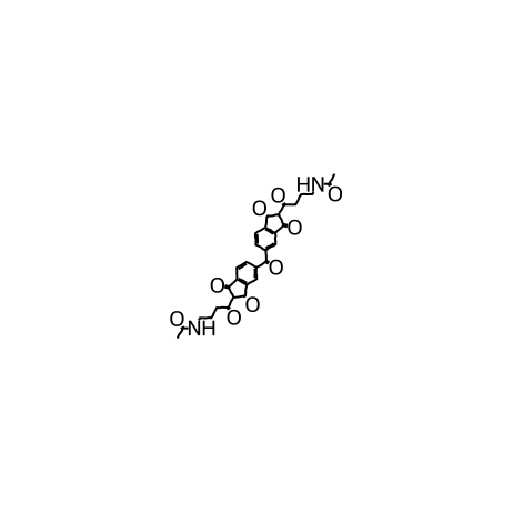 CC(=O)NCCCC(=O)C1C(=O)c2ccc(C(=O)c3ccc4c(c3)C(=O)C(C(=O)CCCNC(C)=O)C4=O)cc2C1=O